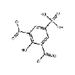 O=[N+]([O-])c1cc(P(=O)(O)O)cc([N+](=O)[O-])c1O